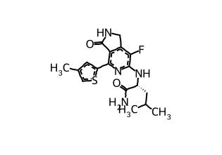 Cc1csc(-c2nc(N[C@H](CC(C)C)C(N)=O)c(F)c3c2C(=O)NC3)c1